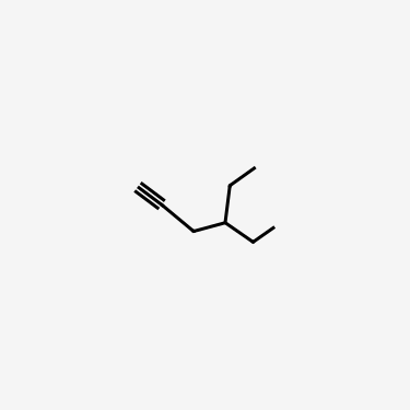 C#CCC(CC)CC